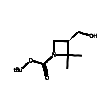 CC(C)(C)OC(=O)N1C[C@H](CO)C1(C)C